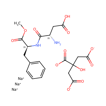 COC(=O)[C@H](Cc1ccccc1)NC(=O)[C@@H](N)CC(=O)O.O=C([O-])CC(O)(CC(=O)[O-])C(=O)[O-].[Na+].[Na+].[Na+]